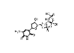 Cc1cn([C@H]2C[C@H](O)[C@@H](COP(C)(=O)OP(=O)(O)OP(=O)(O)O)O2)c(=O)[nH]c1=O